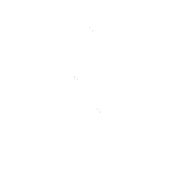 CC(C)CCN1CCN(CC2CCNC2)CC1